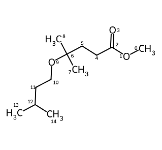 COC(=O)CCC(C)(C)OCCC(C)C